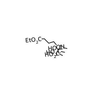 CC(=O)O.CC(=O)O.CC(=O)O.CCOC(=O)CCCO